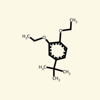 CCOc1ccc(C(C)(C)C)cc1OCC